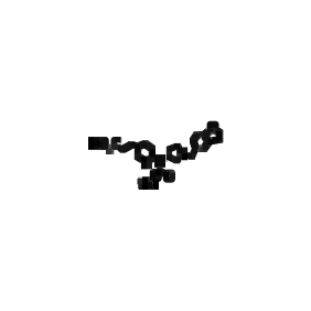 CC(C)(C)OC(=O)N(c1ccc(/C=C/C(=O)O)cn1)[C@@H]1CCN(Cc2ccc3occc3c2)C1